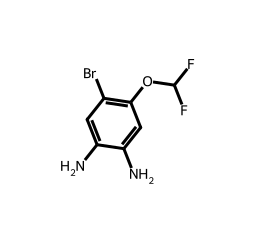 Nc1cc(Br)c(OC(F)F)cc1N